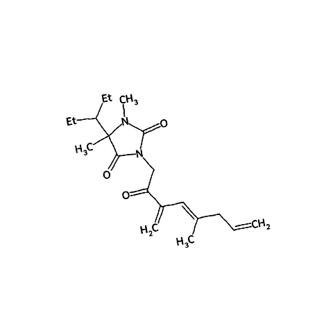 C=CC/C(C)=C/C(=C)C(=O)CN1C(=O)N(C)C(C)(C(CC)CC)C1=O